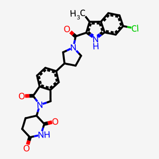 Cc1c(C(=O)N2CCC(c3ccc4c(c3)CN(C3CCC(=O)NC3=O)C4=O)C2)[nH]c2cc(Cl)ccc12